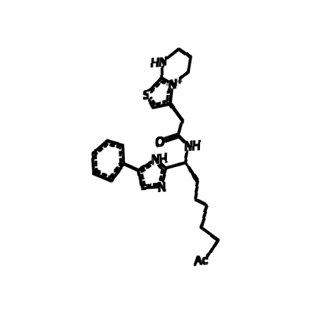 CC(=O)CCCCC[C@H](NC(=O)Cc1csc2[n+]1CCCN2)c1ncc(-c2ccccc2)[nH]1